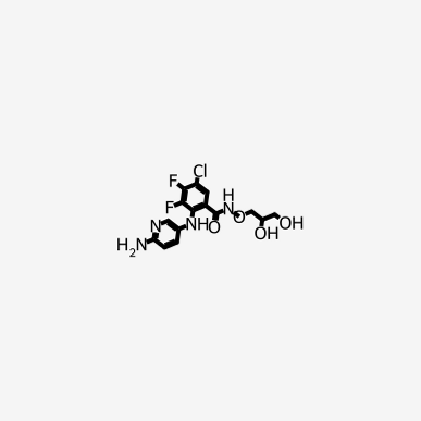 Nc1ccc(Nc2c(C(=O)NOCC(O)CO)cc(Cl)c(F)c2F)cn1